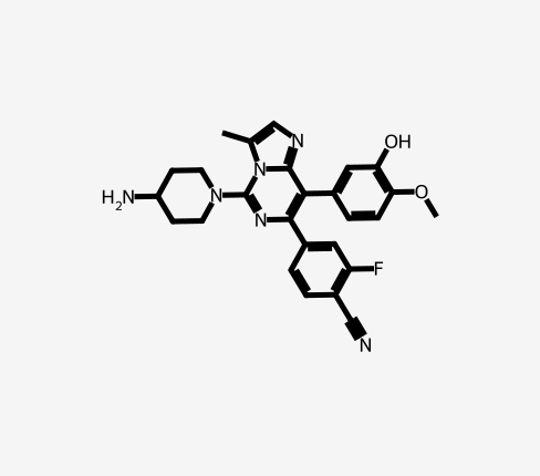 COc1ccc(-c2c(-c3ccc(C#N)c(F)c3)nc(N3CCC(N)CC3)n3c(C)cnc23)cc1O